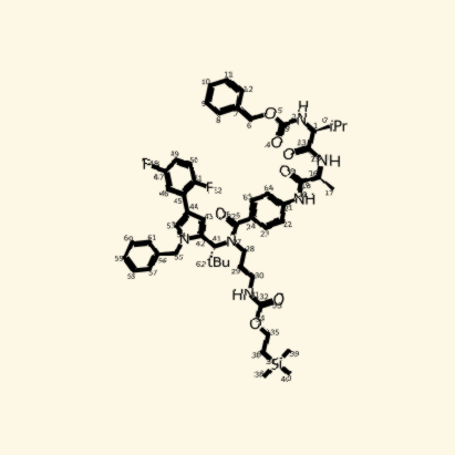 CC(C)[C@H](NC(=O)OCc1ccccc1)C(=O)N[C@@H](C)C(=O)Nc1ccc(C(=O)N(CCCNC(=O)OCC[Si](C)(C)C)[C@@H](c2cc(-c3cc(F)ccc3F)cn2Cc2ccccc2)C(C)(C)C)cc1